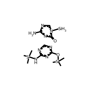 C[Si](C)(C)Nc1ncnc(O[Si](C)(C)C)n1.Nc1ncn([SiH3])c(=O)n1